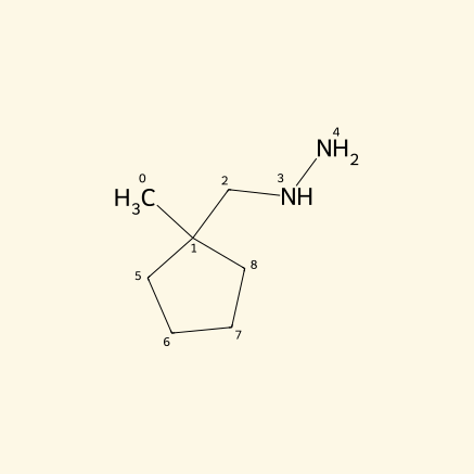 CC1(CNN)CCCC1